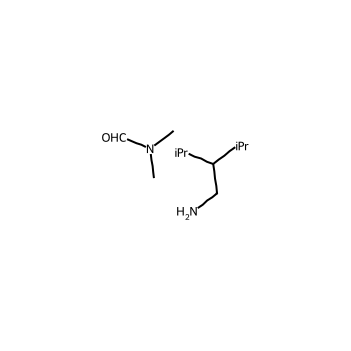 CC(C)C(CN)C(C)C.CN(C)C=O